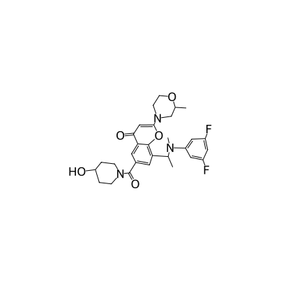 CC1CN(c2cc(=O)c3cc(C(=O)N4CCC(O)CC4)cc(C(C)N(C)c4cc(F)cc(F)c4)c3o2)CCO1